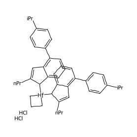 CCCC1=Cc2c(-c3ccc(C(C)C)cc3)cccc2[CH]1[Hf]1([CH]2C(CCC)=Cc3c(-c4ccc(C(C)C)cc4)cccc32)[CH2]C[CH2]1.Cl.Cl